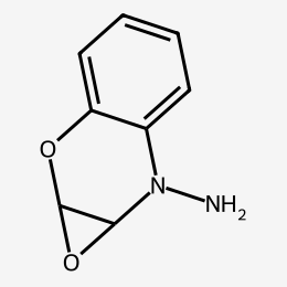 NN1c2ccccc2OC2OC21